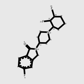 O=C1c2ccc(F)cc2CN1C1CCN(C2CCCC(F)C2F)CC1